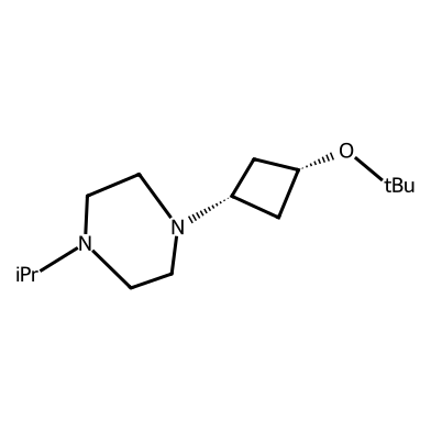 CC(C)N1CCN([C@H]2C[C@@H](OC(C)(C)C)C2)CC1